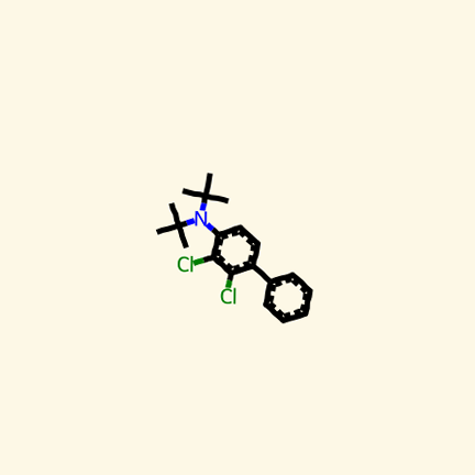 CC(C)(C)N(c1ccc(-c2ccccc2)c(Cl)c1Cl)C(C)(C)C